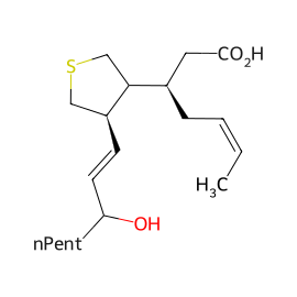 C/C=C\C[C@H](CC(=O)O)C1CSC[C@@H]1/C=C/C(O)CCCCC